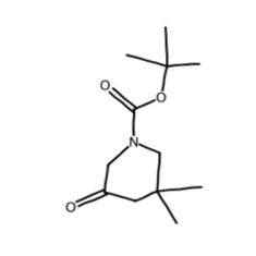 CC1(C)CC(=O)CN(C(=O)OC(C)(C)C)C1